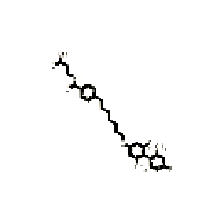 Cc1cc(F)ccc1-c1c(C)cc(OCCCCCCCc2ccc(C(=O)NCCC(=O)O)cc2)cc1C